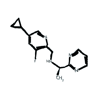 C[C@@H](NCc1ncc(C2CC2)cc1F)c1ncccn1